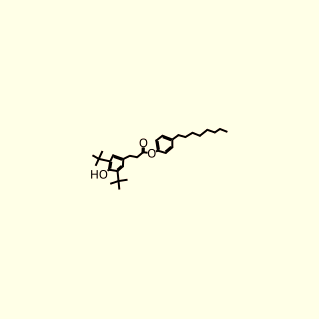 CCCCCCCCc1ccc(OC(=O)CCc2cc(C(C)(C)C)c(O)c(C(C)(C)C)c2)cc1